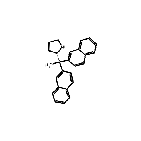 CC(c1ccc2ccccc2c1)(c1ccc2ccccc2c1)[C@@H]1CCCN1